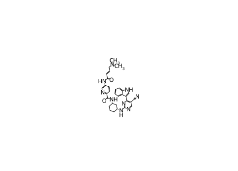 CN(C)C/C=C/C(=O)Nc1ccc(C(=O)N[C@H]2CCC[C@@H](Nc3ncc(C#N)c(-c4c[nH]c5ccccc45)n3)C2)nc1